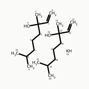 C=CC(C)(O)CCCC(C)C.C=CC(C)(O)CCCC(C)C.[KH]